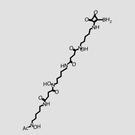 Bc1c(NCCCCCN(O)C(=O)CCC(=O)NCCCCCN(O)C(=O)CCC(=O)NCCCCCN(O)C(C)=O)c(=O)c1=O